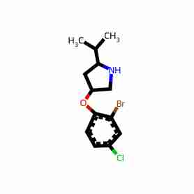 CC(C)C1CC(Oc2ccc(Cl)cc2Br)CN1